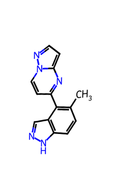 Cc1ccc2[nH]ncc2c1-c1ccn2nccc2n1